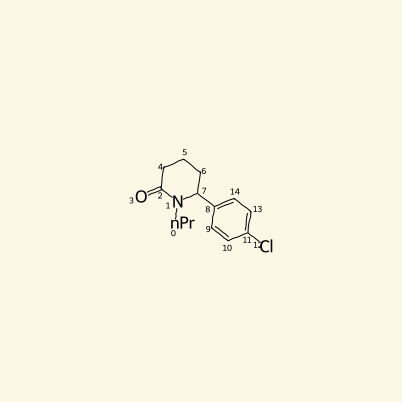 CCCN1C(=O)CCCC1c1ccc(Cl)cc1